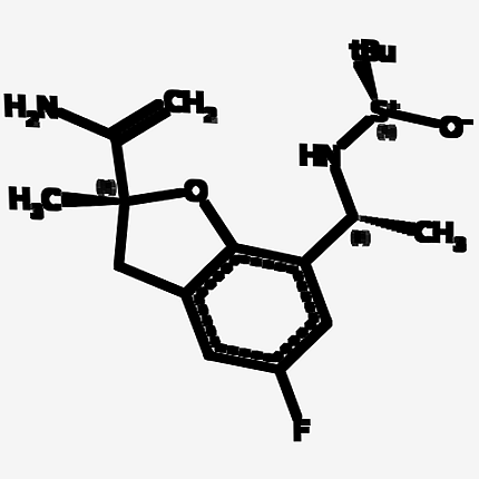 C=C(N)[C@@]1(C)Cc2cc(F)cc([C@@H](C)N[S@+]([O-])C(C)(C)C)c2O1